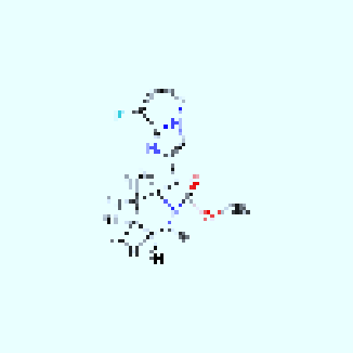 [2H]C1N(C(=O)OC(C)(C)C)[C@]([2H])(Cc2cn3cccc(F)c3n2)C([2H])([2H])C([2H])([2H])C1([2H])[2H]